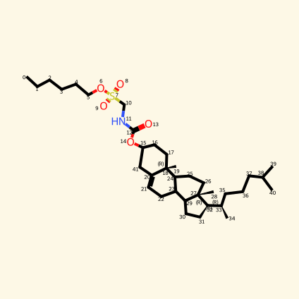 CCCCCCOS(=O)(=O)CNC(=O)OC1CC[C@@]2(C)C(=CCC3C2CC[C@@]2(C)C3CC[C@@H]2[C@H](C)CCCC(C)C)C1